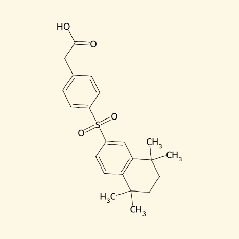 CC1(C)CCC(C)(C)c2cc(S(=O)(=O)c3ccc(CC(=O)O)cc3)ccc21